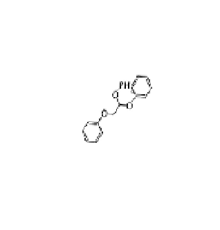 POC(COc1ccccc1)Oc1ccccc1